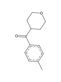 Cc1ccc(C(=O)C2CCOCC2)cc1